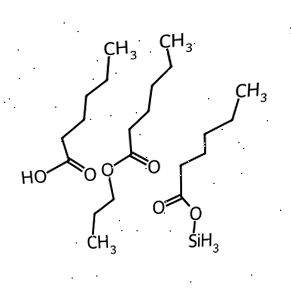 CCCCCC(=O)O.CCCCCC(=O)OCCC.CCCCCC(=O)O[SiH3]